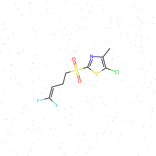 Cc1nc(S(=O)(=O)CCC=C(F)F)sc1Cl